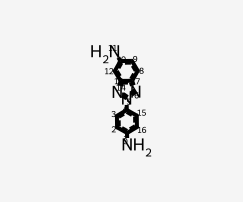 Nc1ccc(-n2nc3ccc(N)cc3n2)cc1